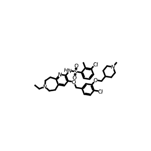 CCN1CCc2cc(OCc3ccc(Cl)c(OCC4CCN(C)CC4)c3)c(NS(=O)(=O)c3cccc(Cl)c3C)nc2CC1